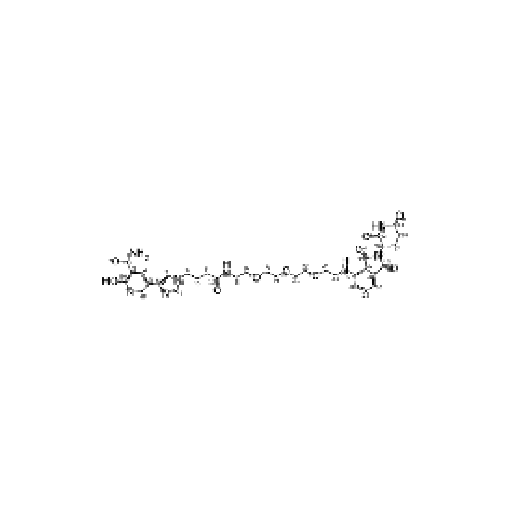 NC(=O)c1cc(-c2cn(CCCC(=O)NCCOCCOCCOCCNc3cccc4c3C(=O)N(C3CCC(=O)NC3=O)C4=O)cn2)cnc1O